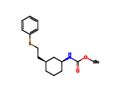 CC(C)(C)OC(=O)N[C@H]1CCC[C@@H](CCSc2ccccc2)C1